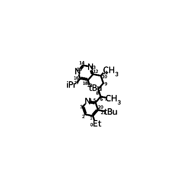 CCc1ccnc(C(C)CCC(C)c2ncnc(C(C)C)c2C(C)(C)C)c1C(C)(C)C